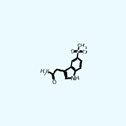 CS(=O)(=O)c1ccc2[nH]cc(CC(N)=O)c2c1